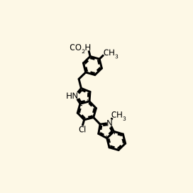 Cc1ccc(Cc2cc3cc(-c4cc5ccccc5n4C)c(Cl)cc3[nH]2)cc1C(=O)O